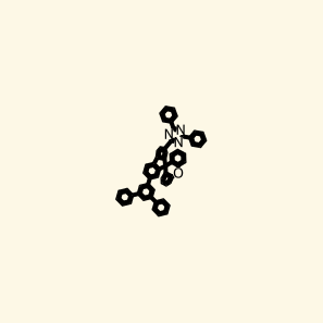 c1ccc(-c2cc(-c3ccccc3)cc(-c3ccc4c(c3)C3(c5ccccc5Oc5ccccc53)c3cc(-c5nc(-c6ccccc6)nc(-c6ccccc6)n5)ccc3-4)c2)cc1